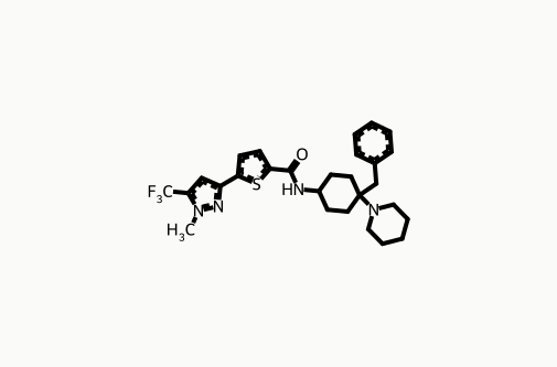 Cn1nc(-c2ccc(C(=O)NC3CCC(Cc4ccccc4)(N4CCCCC4)CC3)s2)cc1C(F)(F)F